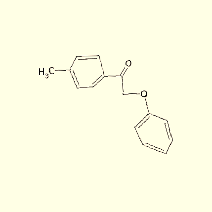 Cc1ccc(C(=O)COc2ccccc2)cc1